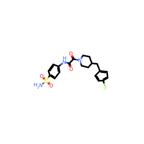 NS(=O)(=O)c1ccc(NC(=O)C(=O)N2CCC(Cc3ccc(F)cc3)CC2)cc1